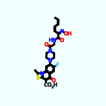 C\C=C/C=C\C(=N\O)C(=O)NCC(=O)N1CCN(c2cc3c(cc2F)c(=O)c(C(=O)O)c2n3C(C)S2)CC1